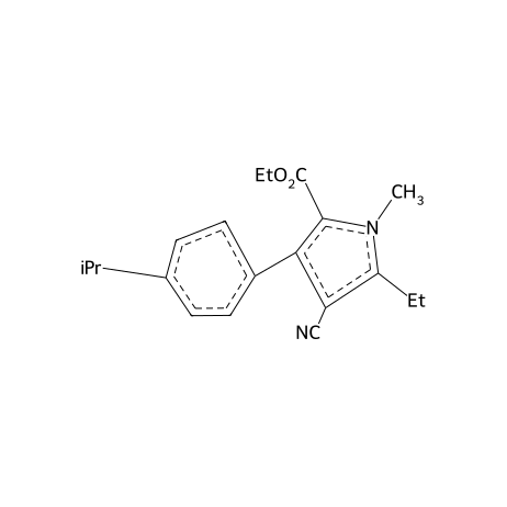 CCOC(=O)c1c(-c2ccc(C(C)C)cc2)c(C#N)c(CC)n1C